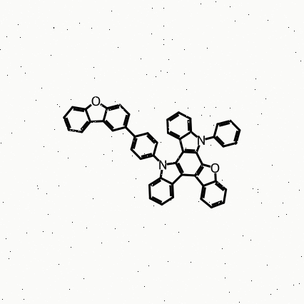 c1ccc(-n2c3ccccc3c3c2c2oc4ccccc4c2c2c4ccccc4n(-c4ccc(-c5ccc6oc7ccccc7c6c5)cc4)c23)cc1